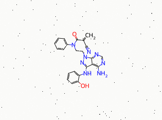 C=C(C#N)C(=O)N(CCn1nc(Nc2ccccc2O)c2c(N)ncnc21)c1ccccc1